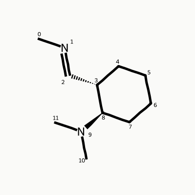 C/N=C/[C@@H]1CCCC[C@H]1N(C)C